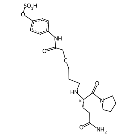 NC(=O)CC[C@H](NCCCCCC(=O)Nc1ccc(OS(=O)(=O)O)cc1)C(=O)N1CCCC1